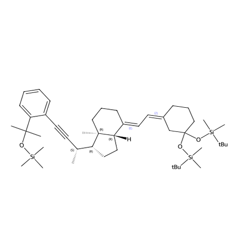 C[C@H](C#Cc1ccccc1C(C)(C)O[Si](C)(C)C)[C@H]1CC[C@H]2/C(=C/C=C3/CCCC(O[Si](C)(C)C(C)(C)C)(O[Si](C)(C)C(C)(C)C)C3)CCC[C@]12C